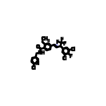 CCc1cc(/C=C/C(c2cc(Cl)c(F)c(Cl)c2)C(F)(F)F)ccc1C(=O)NCc1ccc(Cl)nc1